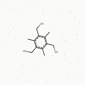 Cc1c(CS)c(C)c(CS)c(C)c1CS